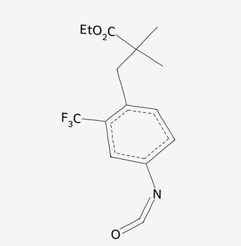 CCOC(=O)C(C)(C)Cc1ccc(N=C=O)cc1C(F)(F)F